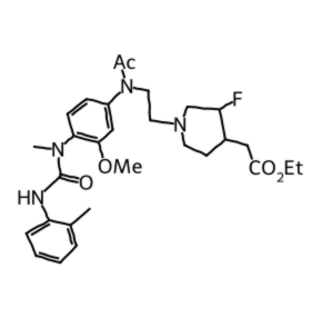 CCOC(=O)CC1CCN(CCN(C(C)=O)c2ccc(N(C)C(=O)Nc3ccccc3C)c(OC)c2)CC1F